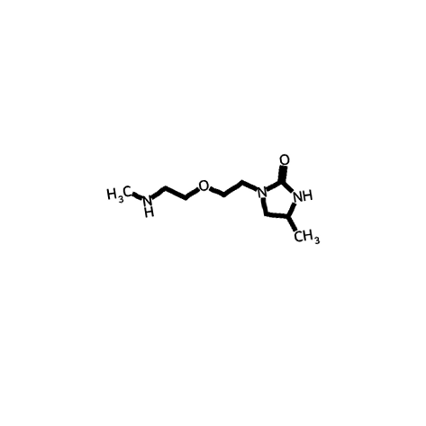 CNCCOCCN1CC(C)NC1=O